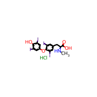 CNC(Cc1cc(I)c(Oc2cc(I)c(O)c(I)c2)c(I)c1)C(=O)O.Cl